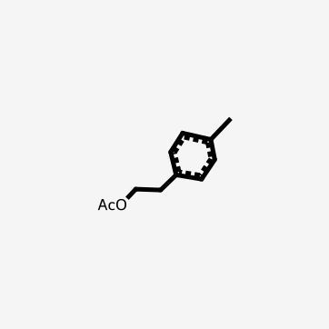 CC(=O)OCCc1ccc(C)cc1